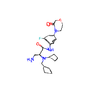 NC[C@@H](C(=O)Nc1ccc(N2CCOCC2=O)cc1F)N(CC1CCC1)C1CCC1